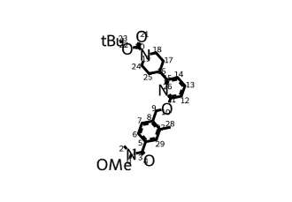 CON(C)C(=O)c1ccc(COc2cccc(C3CCN(C(=O)OC(C)(C)C)CC3)n2)c(C)c1